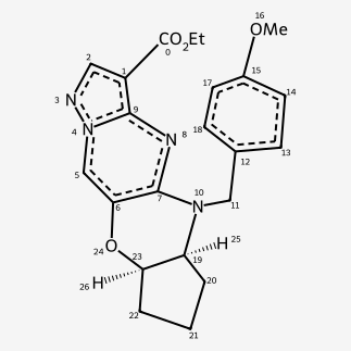 CCOC(=O)c1cnn2cc3c(nc12)N(Cc1ccc(OC)cc1)[C@H]1CCC[C@H]1O3